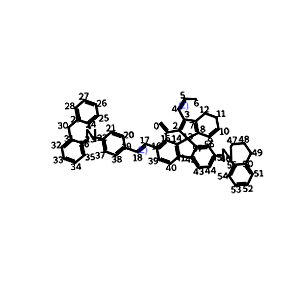 C=CC1=C(/C=C\C)C2=C(C=CCC2)C12c1cc(/C=C/c3ccc(N4c5ccccc5Cc5ccccc54)cc3)ccc1-c1ccc(N3CCCc4ccccc43)cc12